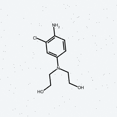 Nc1ccc(N(CCO)CCO)cc1Cl